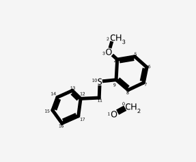 C=O.COc1ccccc1SCc1ccccc1